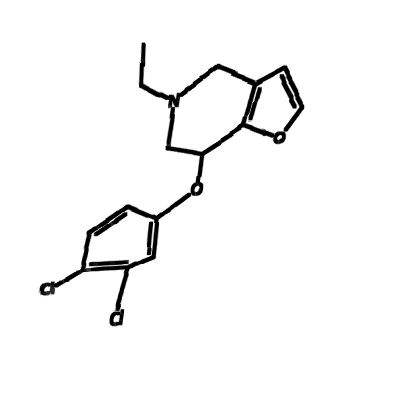 CCN1Cc2ccoc2C(Oc2ccc(Cl)c(Cl)c2)C1